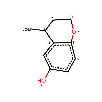 CC(C)(C)C1CCOc2ccc(O)cc21